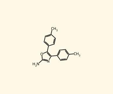 Cc1ccc(-c2nc(N)oc2-c2ccc(C)cc2)cc1